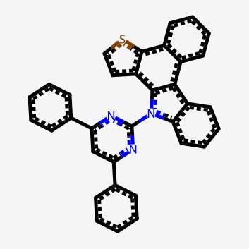 c1ccc(-c2cc(-c3ccccc3)nc(-n3c4ccccc4c4c5ccccc5c5sccc5c43)n2)cc1